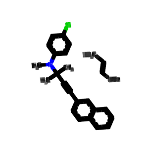 CN(c1ccc(Cl)cc1)C(C)(C)C#Cc1ccc2ccccc2c1.COC=CC(=O)O